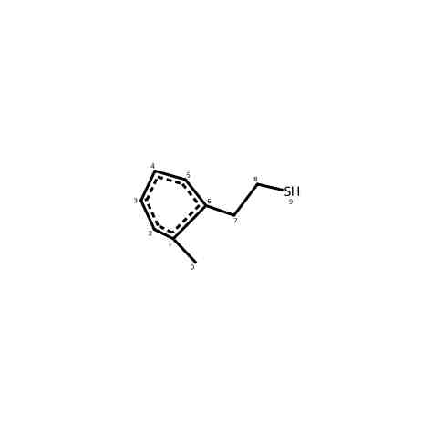 Cc1ccccc1CCS